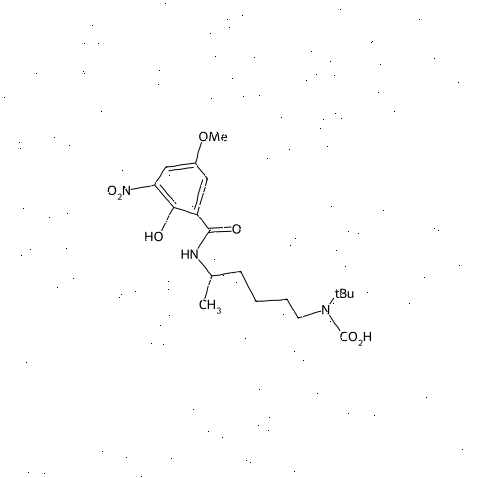 COc1cc(C(=O)NC(C)CCCCN(C(=O)O)C(C)(C)C)c(O)c([N+](=O)[O-])c1